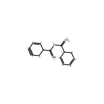 C=C(OC(=N)C1C=CC#CC1)C1C=CC=CC1